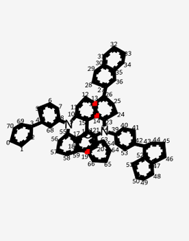 c1ccc(-c2cccc(N(c3ccccc3-c3ccccc3N(c3ccc(-c4ccc5ccccc5c4)cc3)c3ccc(-c4cccc5ccccc45)cc3)c3cccc4c3oc3ccccc34)c2)cc1